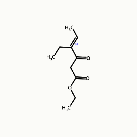 C/C=C(\CC)C(=O)CC(=O)OCC